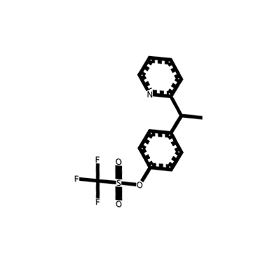 CC(c1ccc(OS(=O)(=O)C(F)(F)F)cc1)c1ccccn1